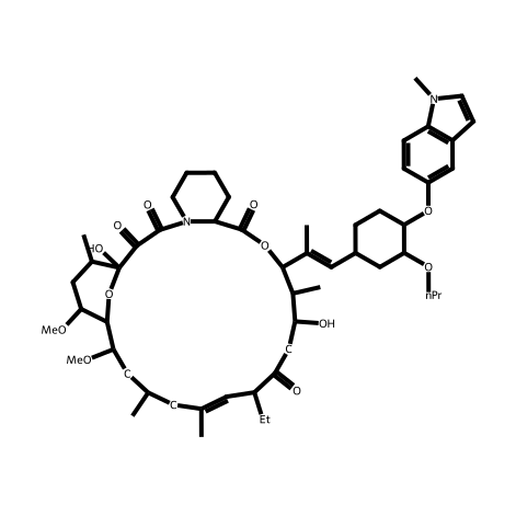 CCCOC1CC(C=C(C)C2OC(=O)C3CCCCN3C(=O)C(=O)C3(O)OC(C(OC)CC(C)C/C(C)=C/C(CC)C(=O)CC(O)C2C)C(OC)CC3C)CCC1Oc1ccc2c(ccn2C)c1